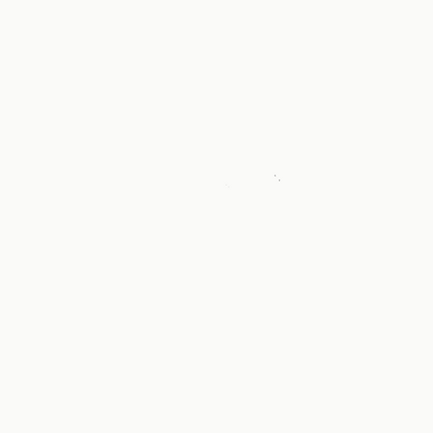 O=C1CC=Cc2ccccc21.[N]